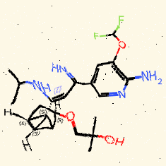 CC(C)N/C(=C\C(=N)c1cnc(N)c(OC(F)F)c1)[C@]12C3[C@@H]1[C@@H]2C[C@H]3OCC(C)(C)O